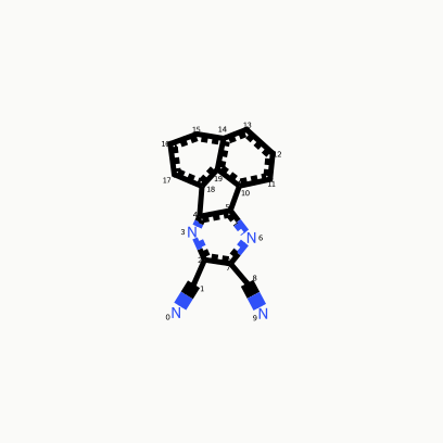 N#Cc1nc2c(nc1C#N)-c1cccc3cccc-2c13